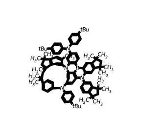 Cc1cc2c3cc1N1c4cc(N(c5ccc(C(C)(C)C)cc5)c5ccc(C(C)(C)C)cc5)ccc4B4c5cc6c(cc5N(c5ccc7c(c5)C(C)(C)CC7(C)C)c5cc(cc1c54)N(c1ccc(C(C)(C)C)cc1)c1ccc(cc1)C(C)(C)CC3(C)CC2(C)C)C(C)(C)CC6(C)C